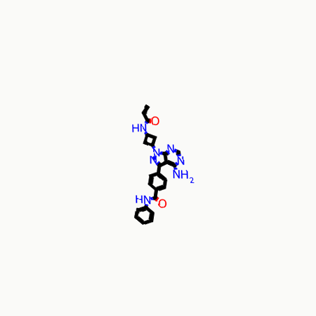 C=CC(=O)NC1CC(n2nc(-c3ccc(C(=O)Nc4ccccc4)cc3)c3c(N)ncnc32)C1